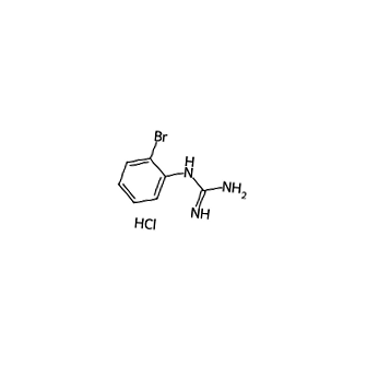 Cl.N=C(N)Nc1ccccc1Br